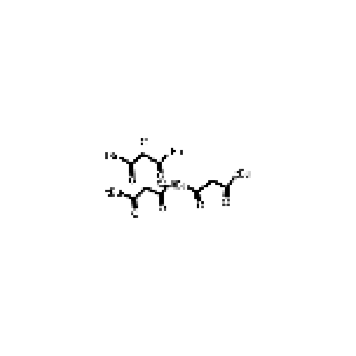 CC(C)(C)C(=O)CC(=O)C(C)(C)C.CC(C)(C)C(=O)CC(=O)C(C)(C)C.CC(C)(C)C(=O)CC(=O)C(C)(C)C.[Cr]